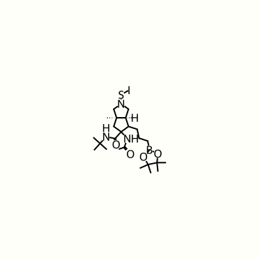 CC(=O)NC1(C(=O)NC(C)(C)C)C[C@@]2(C)CN(SI)C[C@H]2C1CCCB1OC(C)(C)C(C)(C)O1